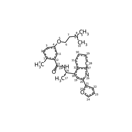 Cc1ccc(OCCN(C)C)cc1C(=O)N[C@H](C)c1cc(-c2ccco2)nc2ccccc12